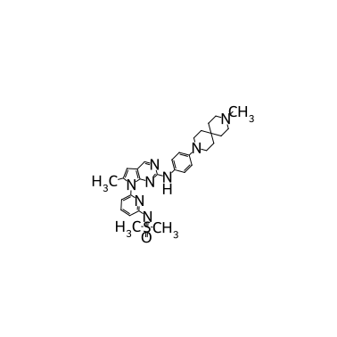 Cc1cc2cnc(Nc3ccc(N4CCC5(CCN(C)CC5)CC4)cc3)nc2n1-c1cccc(N=S(C)(C)=O)n1